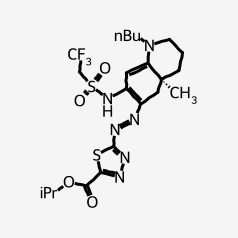 CCCCN1CCC[C@@]2(C)CC(N=Nc3nnc(C(=O)OC(C)C)s3)=C(NS(=O)(=O)CC(F)(F)F)C=C12